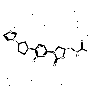 CC(=O)NC[C@H]1CN(c2ccc(N3CC[C@H](n4ccnc4)C3)c(F)c2)C(=O)O1